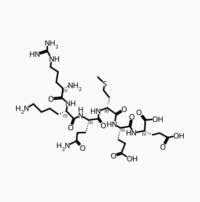 CSCC[C@@H](NC(=O)[C@H](CCC(N)=O)NC(=O)[C@H](CCCCN)NC(=O)[C@@H](N)CCCNC(=N)N)C(=O)N[C@@H](CCC(=O)O)C(=O)N[C@@H](CCC(=O)O)C(=O)O